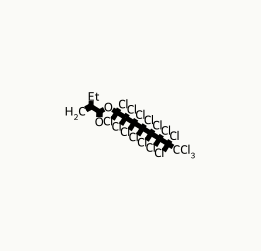 C=C(CC)C(=O)OC(Cl)(Cl)C(Cl)(Cl)C(Cl)(Cl)C(Cl)(Cl)C(Cl)(Cl)C(Cl)(Cl)C(Cl)(Cl)C(Cl)(Cl)Cl